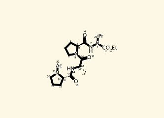 CCOC(=O)N(NC(=O)[C@@H]1CCCN1C(=O)[C@H](C)NC(=O)[C@@H]1CCCN1C(C)=O)C(C)C